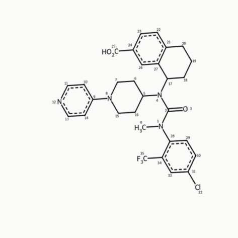 CN(C(=O)N(C1CCN(c2ccncc2)CC1)C1CCCc2ccc(C(=O)O)cc21)c1ccc(Cl)cc1C(F)(F)F